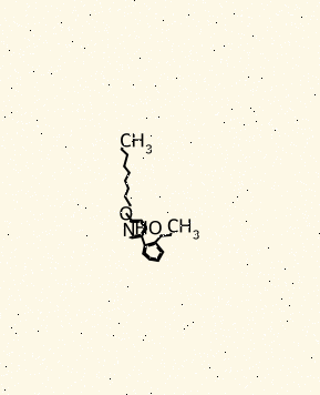 CCCCCCCCCOc1ccc(-c2ccccc2C(O)CC)cn1